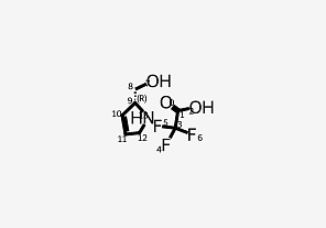 O=C(O)C(F)(F)F.OC[C@H]1C=CCN1